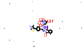 Cc1ncsc1-c1ccc(C(CN2C(=O)c3ccccc3C2=O)NC(=O)[C@@H]2C[C@@H](O)CN2C(=O)O)cc1